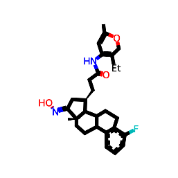 CCC1=C(NC(=O)CC[C@@H]2C/C(=N\O)[C@@]3(C)CCC4c5cccc(F)c5CCC4C23)C=C(C)OC1